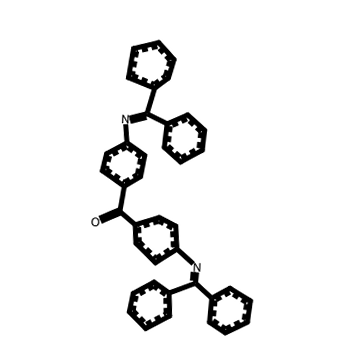 O=C(c1ccc(N=C(c2ccccc2)c2ccccc2)cc1)c1ccc(N=C(c2ccccc2)c2ccccc2)cc1